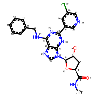 CC(C)NC(=O)[C@@H]1C[C@@H](O)[C@H](n2cnc3c(NCc4ccccc4)nc(-c4cncc(Cl)c4)nc32)O1